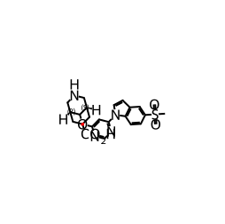 CS(=O)(=O)c1ccc2c(ccn2-c2cc(OC3[C@@H]4CNC[C@H]3CC(C(=O)O)C4)ncn2)c1